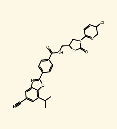 CC(C)c1cc(C#N)cc2nc(-c3ccc(C(=O)NC[C@H]4CN(C5=NCC(Cl)C=C5)C(=O)O4)cc3)oc12